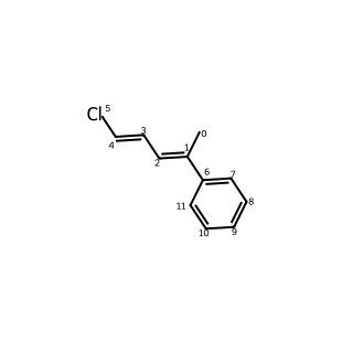 CC(=CC=CCl)c1ccccc1